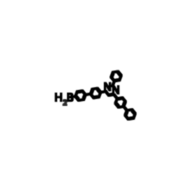 Bc1ccc(-c2ccc(-c3cc(-c4ccc(-c5ccccc5)cc4)nc(-c4ccccc4)n3)cc2)cc1